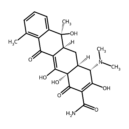 Cc1cccc2c1C(=O)C1=C(O)[C@]3(O)C(=O)C(C(N)=O)=C(O)[C@@H](N(C)C)[C@@H]3C[C@@H]1[C@]2(C)O